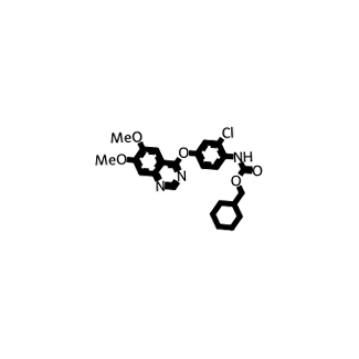 COc1cc2ncnc(Oc3ccc(NC(=O)OCC4CCCCC4)c(Cl)c3)c2cc1OC